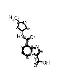 CC1C[C@H](NC(=O)c2cccn3c(C(=O)O)cnc23)CO1